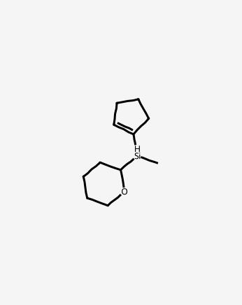 C[SiH](C1=CCCC1)C1CCCCO1